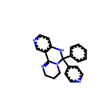 c1ccc(C2(c3ccncc3)Nc3ccncc3C3=NCCCN32)cc1